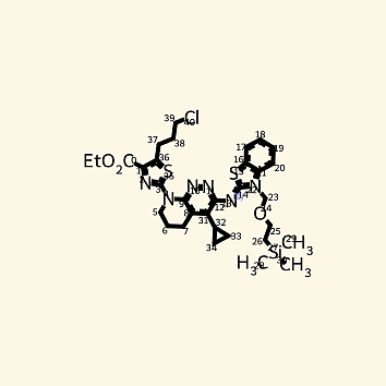 CCOC(=O)c1nc(N2CCCc3c2nnc(/N=c2\sc4ccccc4n2COCC[Si](C)(C)C)c3C2CC2)sc1CCCCl